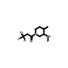 CNC1CN(C(=O)CC(F)(F)F)CCC1C